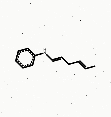 CC=CCC=CNc1ccccc1